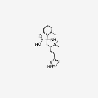 CSC(/C=C/c1c[nH]cn1)CC(N)(C(=O)O)c1ccccc1C